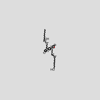 CCCCCCCCCC(O)C[N+](C)(C)CC[N+](C)(C)CCCCn1c2ccc(OC)cc2sc2cc3c(cc21)sc1cc(OC)ccc1n3CCCC[N+](C)(C)CC[N+](C)(C)CCCCCCCCCCCO